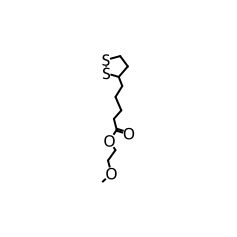 COCCOC(=O)CCCCC1CCSS1